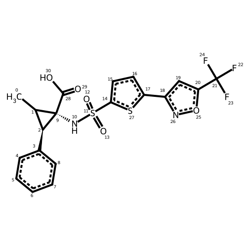 CC1[C@H](c2ccccc2)[C@]1(NS(=O)(=O)c1ccc(-c2cc(C(F)(F)F)on2)s1)C(=O)O